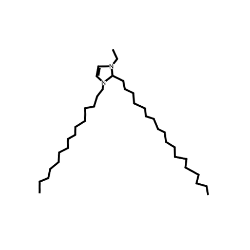 CCCCCCCCCCCCCCCCCCC1N(CC)C=CN1CCCCCCCCCCCCCCC